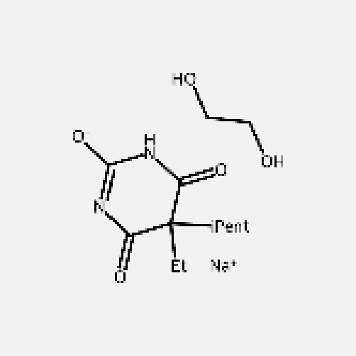 CCCC(C)C1(CC)C(=O)N=C([O-])NC1=O.OCCO.[Na+]